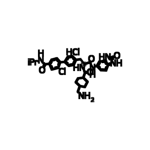 CC(C)NC(=O)c1ccc(-c2ccc(C[C@H](NC(=O)C3CCC(CN)CC3)C(=O)Nc3ccc4[nH]c(=O)[nH]c4c3)cc2)c(Cl)c1.Cl